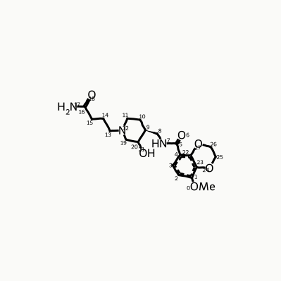 COc1ccc(C(=O)NC[C@@H]2CCN(CCCC(N)=O)CC2O)c2c1OCCO2